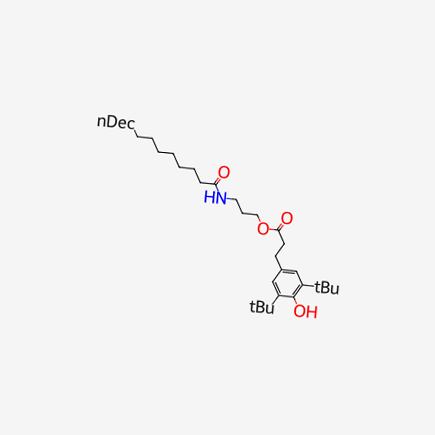 CCCCCCCCCCCCCCCCCC(=O)NCCCOC(=O)CCc1cc(C(C)(C)C)c(O)c(C(C)(C)C)c1